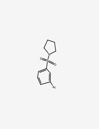 CC(=O)c1cccc(S(=O)(=O)N2CCCC2)c1